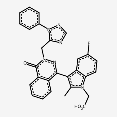 Cc1c(-c2nn(Cc3ncnn3-c3ccccc3)c(=O)c3ccccc23)c2cc(F)ccc2n1CC(=O)O